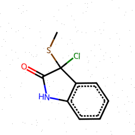 CSC1(Cl)C(=O)Nc2ccccc21